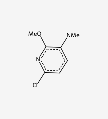 CNc1ccc(Cl)nc1OC